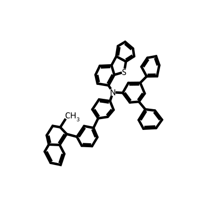 CC1CC=c2ccccc2=C1c1cccc(-c2ccc(N(c3cc(-c4ccccc4)cc(-c4ccccc4)c3)c3cccc4c3sc3ccccc34)cc2)c1